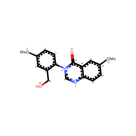 COc1ccc(-n2cnc3ccc(OC)cc3c2=O)c(CO)c1